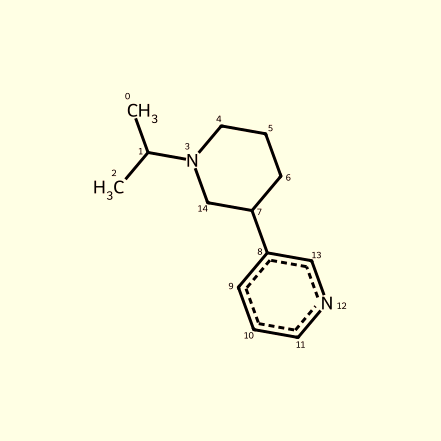 CC(C)N1CCCC(c2cccnc2)C1